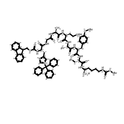 CSCC[C@H](NC(=O)[C@H](C)NC(=O)CNC(=O)[C@H](Cc1cn(C(c2ccccc2)(c2ccccc2)c2ccccc2)cn1)NC(=O)OCC1c2ccccc2-c2ccccc21)C(=O)N[C@H](C(=O)N[C@@H](Cc1ccc(OC(C)(C)C)cc1)C(=O)N[C@@H](CC(C)C)C(=O)N[C@@H](CCCCNC(=O)OC(C)(C)C)C(=O)O)C(C)C